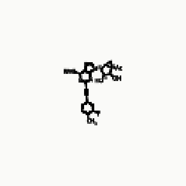 CNc1nc(C#Cc2ccc(C)c(F)c2)nc2c1ncn2[C@@H]1C2C[C@]2(C(C)=O)C(O)[C@H]1O